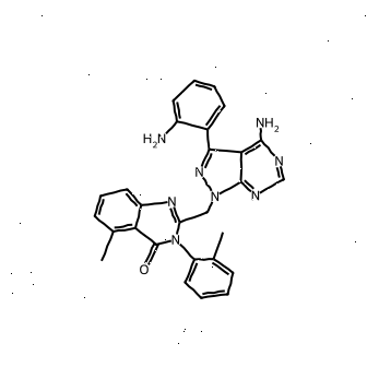 Cc1ccccc1-n1c(Cn2nc(-c3ccccc3N)c3c(N)ncnc32)nc2cccc(C)c2c1=O